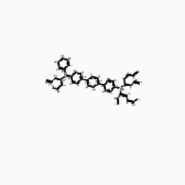 C=C/C=C\C(=C/C=C)N(/C(C=C)=C/C=C\C)c1ccc(-c2ccc(-c3ccc(N(C(/C=C\C)=C/C=C)c4ccccc4)cc3)cc2)cc1